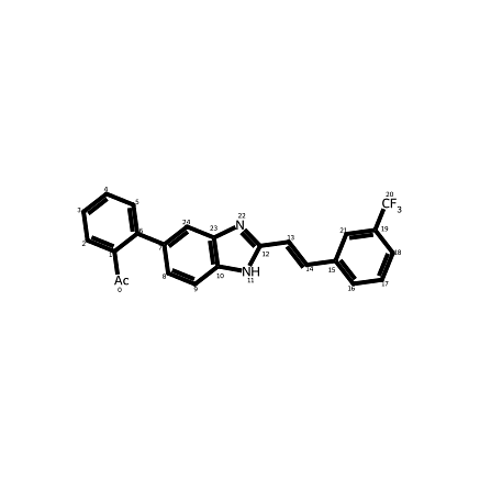 CC(=O)c1ccccc1-c1ccc2[nH]c(/C=C/c3cccc(C(F)(F)F)c3)nc2c1